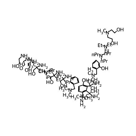 CC(C)(N)CO.CC(C)(N)c1ccc(O)c(C(C)(C)N)c1C(C)(C)N.CC(C)C(N)(CO)C(C)C.CCC(N)(CC)CO.CCCN(CCC)CCC.CCN(C(C)C)C(C)C.CCN(CC)CC.CN(C)Cc1ccccc1.CN(C)Cc1ccccc1O.CN(CCO)CCO.NCCO.NCCO.NCCO